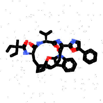 CCC(C)(CC)C(=O)N[C@H]1Cc2ccc3c(c2)C2(Cc4oc(nc4-c4ncc(-c5ccccc5)o4)[C@H](C(C)C)NC1=O)c1ccccc1NC2O3